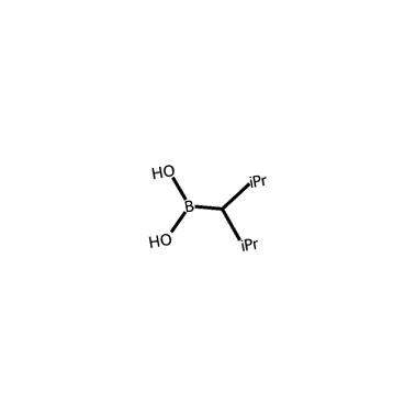 CC(C)C(B(O)O)C(C)C